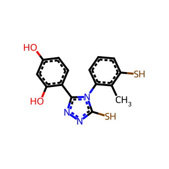 Cc1c(S)cccc1-n1c(S)nnc1-c1ccc(O)cc1O